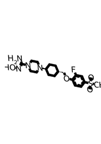 CS(=O)(=O)c1ccc(OC[C@H]2CC[C@H](N3CCN(C(N)=NO)CC3)CC2)c(F)c1